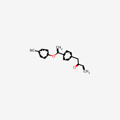 C=CC(=O)Cc1ccc(C(=C)Oc2ccc(C#N)cc2)cc1